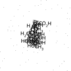 C=C1C[C@@]23CC[C@H]4[C@@](C)(CCC[C@@]4(C)C(=O)N[C@@H](C(=O)O)C(C)C)[C@@H]2CC[C@]1(O[C@@H]1O[C@H](CO)[C@@H](O)[C@H](O[C@@H]2O[C@H](CO)[C@@H](C)[C@H](O)[C@H]2O)[C@H]1O[C@@H]1O[C@H](CO)[C@@H](O)[C@H](O)[C@H]1O)C3